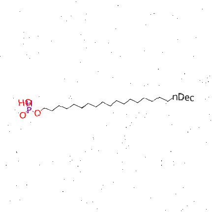 CCCCCCCCCCCCCCCCCCCCCCCCCCCCO[PH](=O)O